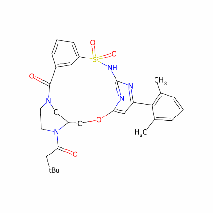 Cc1cccc(C)c1-c1cc2nc(n1)NS(=O)(=O)c1cccc(c1)C(=O)N1CCN(C(=O)CC(C)(C)C)C(CO2)C1